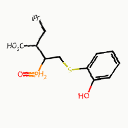 CC(C)CC(C(=O)O)C(CSc1ccccc1O)[PH2]=O